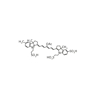 CC(=O)OC(=C\C=C\C1=C2N(CCS(=O)(=O)O)c3ccc(S(=O)(=O)O)cc3C2(C)CC1)/C=C/C=C1\CCC2(C)C1=[N+](CCS(=O)(=O)O)c1ccc(C)cc12